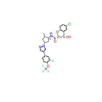 CC1CC(n2cc(-c3ccc(OC(F)(F)F)c(F)c3)cn2)C[C@@H]1NC(=O)[C@H]1C[C@@H](O)c2cc(Cl)ccc2O1